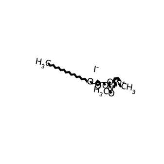 CCCCCCCCCCCCCCCCOC[C@H]1C[C@@H](COC(=O)N(Cc2cccc[n+]2CC)C(C)=O)O1.[I-]